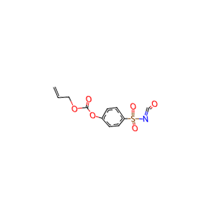 C=CCOC(=O)Oc1ccc(S(=O)(=O)N=C=O)cc1